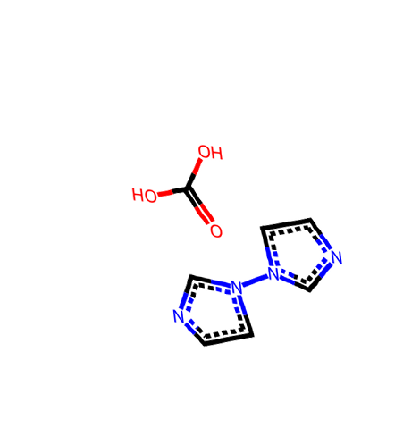 O=C(O)O.c1cn(-n2ccnc2)cn1